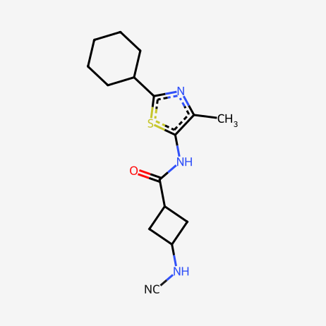 Cc1nc(C2CCCCC2)sc1NC(=O)C1CC(NC#N)C1